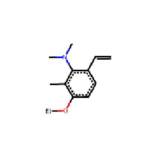 C=Cc1ccc(OCC)c(C)c1N(C)C